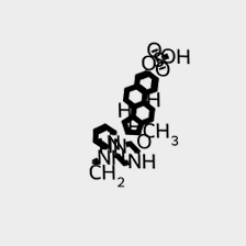 C1CNCCN1.C=CNc1ccccn1.C[C@]12CC[C@@H]3c4ccc(OS(=O)(=O)O)cc4CC[C@H]3[C@@H]1CCC2=O